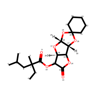 CCC(C)(CC(C)C)C(=O)OC1C(=O)OC2[C@@H]1O[C@@H]1OC3(CCCCC3)O[C@H]21